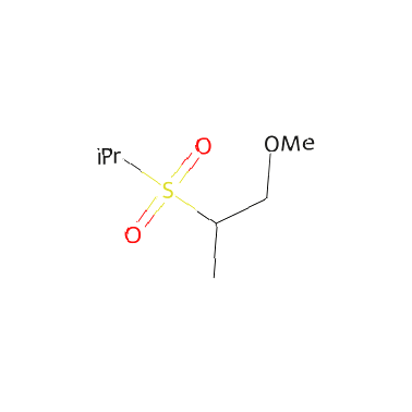 COCC(C)S(=O)(=O)C(C)C